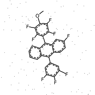 COc1c(F)c(F)c(-c2c3ccccc3c(-c3cc(F)c(F)c(F)c3)c3ccc(F)cc23)c(F)c1F